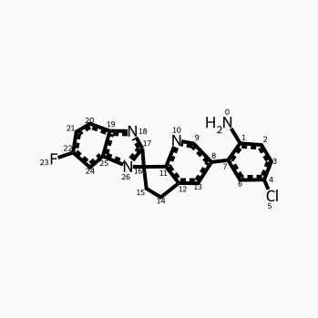 Nc1ccc(Cl)cc1-c1cnc2c(c1)CCC21c2nc3ccc(F)cc3n21